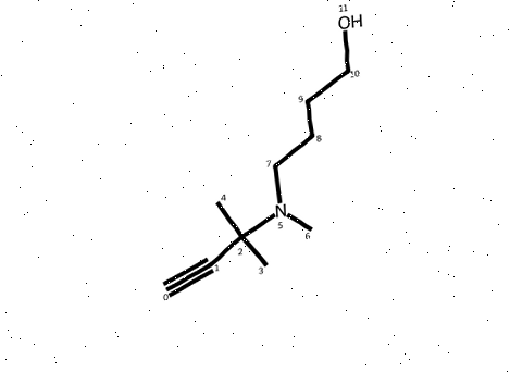 C#CC(C)(C)N(C)CCCCO